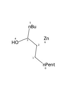 CCCCCCCC(O)CCCC.[Zn]